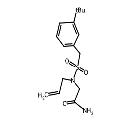 C=CCN(CC(N)=O)S(=O)(=O)Cc1cccc(C(C)(C)C)c1